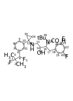 CC(C)(F)C(F)c1cccc(C2(NCC(O)C(Cc3cc(F)cc(F)c3)N(C(=O)O)C(C)(C)C)CC2)c1